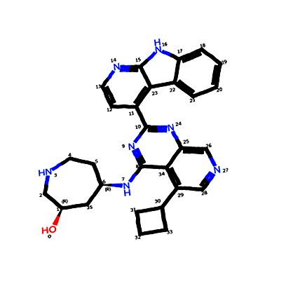 O[C@H]1CNCC[C@@H](Nc2nc(-c3ccnc4[nH]c5ccccc5c34)nc3cncc(C4CCC4)c23)C1